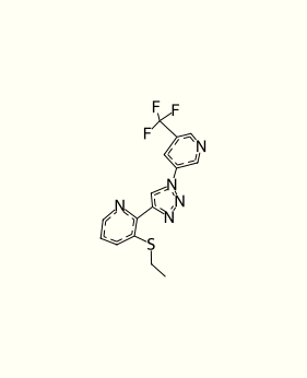 CCSc1cccnc1-c1cn(-c2cncc(C(F)(F)F)c2)nn1